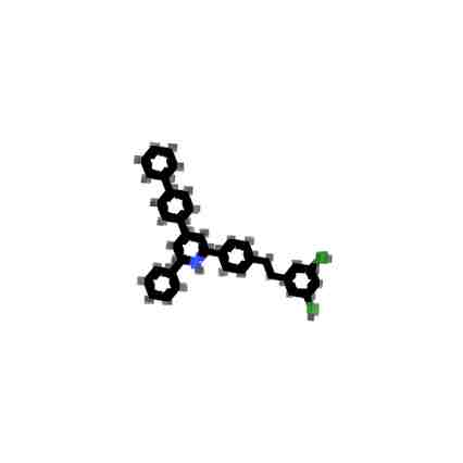 Clc1cc(Cl)cc(CCc2ccc(-c3cc(-c4ccc(-c5ccccc5)cc4)cc(-c4ccccc4)n3)cc2)c1